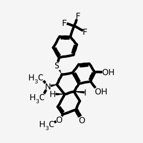 COC1=C[C@@H]2[C@@H](N(C)C)[C@H](Sc3ccc(C(F)(F)F)cc3)c3ccc(O)c(O)c3[C@]2(I)CC1=O